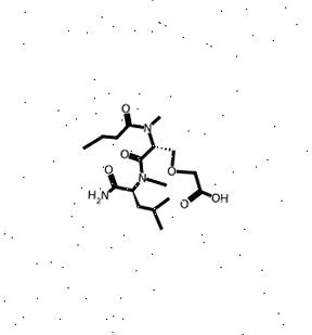 CCCC(=O)N(C)[C@H](COCC(=O)O)C(=O)N(C)[C@@H](CC(C)C)C(N)=O